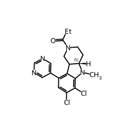 CCC(=O)N1CC[C@H]2C(C1)c1c(-c3cncnc3)cc(Cl)c(Cl)c1N2C